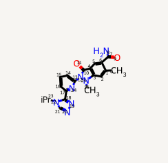 Cc1cc2c(cc1C(N)=O)c(=O)n(-c1cccc(-c3nncn3C(C)C)n1)n2C